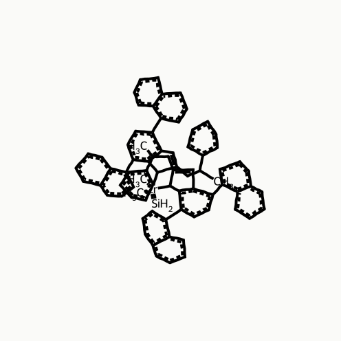 CC(CC1=Cc2c(-c3cccc4ccccc34)ccc(-c3cccc4ccccc34)c2[CH]1[Zr]([CH3])([CH3])(=[SiH2])[CH]1C(CC(C)c2ccccc2)=Cc2c(-c3cccc4ccccc34)ccc(-c3cccc4ccccc34)c21)c1ccccc1